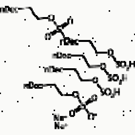 CCCCCCCCCCCCOS(=O)(=O)O.CCCCCCCCCCCCOS(=O)(=O)O.CCCCCCCCCCCCOS(=O)(=O)O.CCCCCCCCCCCCOS(=O)(=O)[O-].CCCCCCCCCCCCOS(=O)(=O)[O-].[Na+].[Na+]